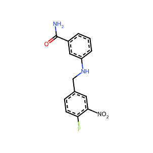 NC(=O)c1cccc(NCc2ccc(F)c([N+](=O)[O-])c2)c1